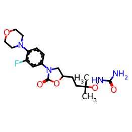 CC(C)(CCC1CN(c2ccc(N3CCOCC3)c(F)c2)C(=O)O1)ONC(N)=O